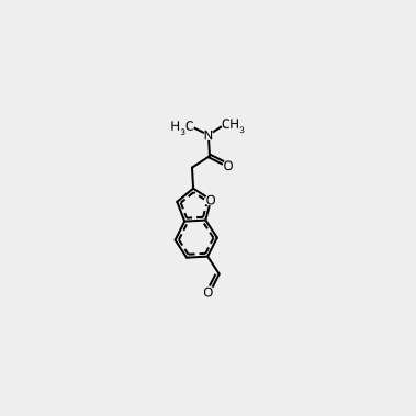 CN(C)C(=O)Cc1cc2ccc(C=O)cc2o1